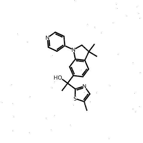 Cc1cnc(C(C)(O)c2ccc3c(c2)N(c2ccncc2)CC3(C)C)s1